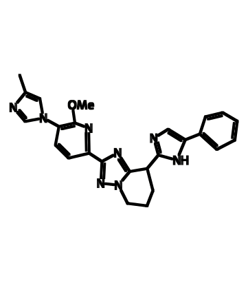 COc1nc(-c2nc3n(n2)CCCC3c2ncc(-c3ccccc3)[nH]2)ccc1-n1cnc(C)c1